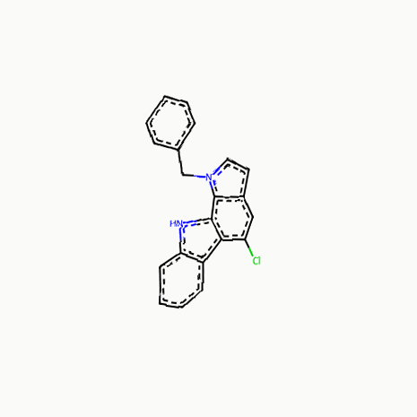 Clc1cc2ccn(Cc3ccccc3)c2c2[nH]c3ccccc3c12